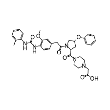 COc1cc(CC(=O)N2C[C@H](Oc3ccccc3)C[C@H]2C(=O)N2CCN(CC(=O)O)CC2)ccc1NC(=O)Nc1ccccc1C